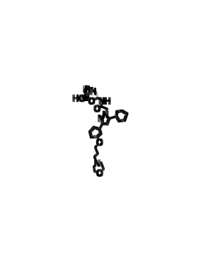 CC(C)C[C@H](NC(=O)Cn1nc(-c2cccc(OCCCN3CCOCC3)c2)cc1-c1ccccc1)OB(O)O